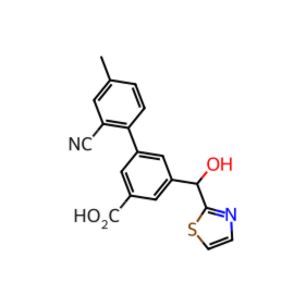 Cc1ccc(-c2cc(C(=O)O)cc(C(O)c3nccs3)c2)c(C#N)c1